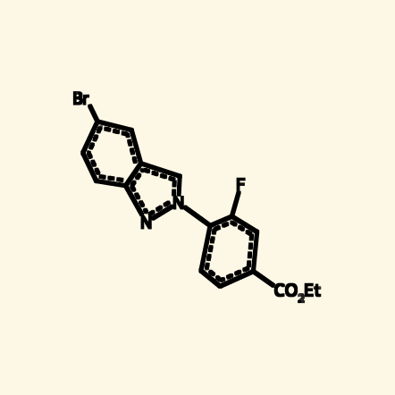 CCOC(=O)c1ccc(-n2cc3cc(Br)ccc3n2)c(F)c1